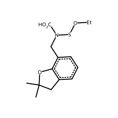 CCOSN(Cc1cccc2c1OC(C)(C)C2)C(=O)O